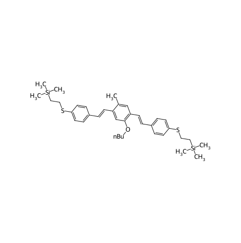 CCCCOc1cc(/C=C/c2ccc(SCC[Si](C)(C)C)cc2)c(C)cc1/C=C/c1ccc(SCC[Si](C)(C)C)cc1